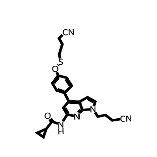 N#CCCCSOc1ccc(-c2cc(NC(=O)C3CC3)nc3c2ccn3CCCC#N)cc1